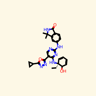 CC[C@]1(Nc2nc(Nc3ccc4c(c3)C(C)(C)NC4=O)ncc2-c2nnc(C3CC3)o2)C=CC=CC1O